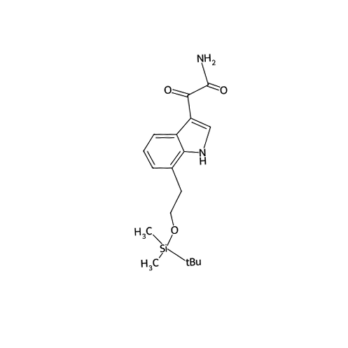 CC(C)(C)[Si](C)(C)OCCc1cccc2c(C(=O)C(N)=O)c[nH]c12